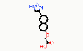 O=C(O)COc1ccc2cc(-c3c[nH]nn3)ccc2c1